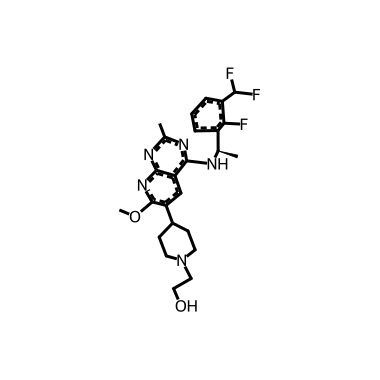 COc1nc2nc(C)nc(N[C@H](C)c3cccc(C(F)F)c3F)c2cc1C1CCN(CCO)CC1